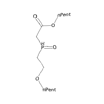 CCCCCOCC[PH](=O)CC(=O)OCCCCC